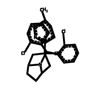 Cc1ccc(C2(C#N)CC3CCC(C2)N3C(c2ccccc2Cl)c2ccccc2Cl)nc1